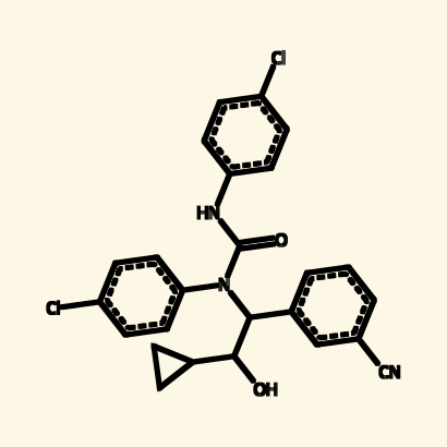 N#Cc1cccc(C(C(O)C2CC2)N(C(=O)Nc2ccc(Cl)cc2)c2ccc(Cl)cc2)c1